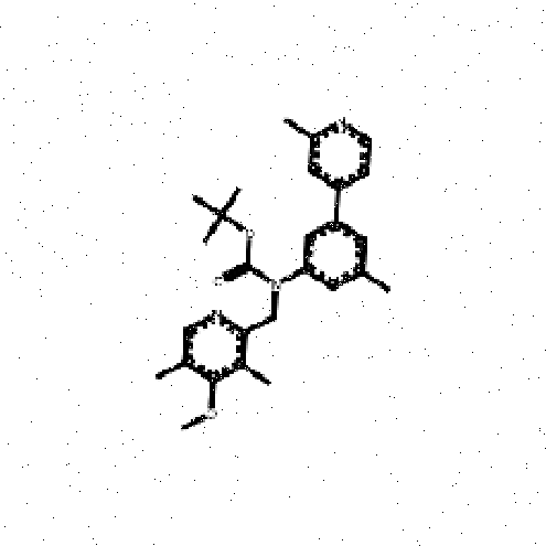 COc1c(C)cnc(CN(C(=O)OC(C)(C)C)c2cc(C)cc(-c3ccnc(C)c3)c2)c1C